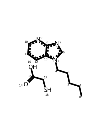 CCCCCn1cnc2ncccc21.O=C(O)CS